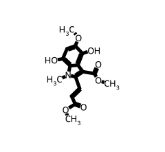 COC(=O)C=Cc1c(C(=O)OC)c2c(O)c(OC)cc(O)c2n1C